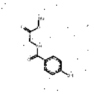 CC(C)(C)OC(=O)CNC(=O)c1ccc(O)cc1